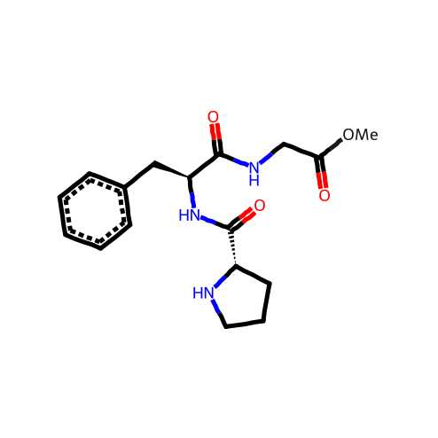 COC(=O)CNC(=O)[C@H](Cc1ccccc1)NC(=O)[C@@H]1CCCN1